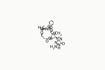 C=C1[C@@H]2CO[P@](=O)(Oc3ccccc3)N[C@@H](C)C(=O)OCCCC(=O)O[C@H]2C[C@@H]1n1cnc2c(=O)[nH]c(N)nc21